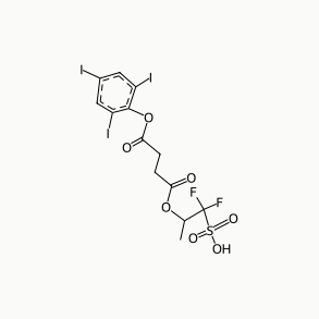 CC(OC(=O)CCC(=O)Oc1c(I)cc(I)cc1I)C(F)(F)S(=O)(=O)O